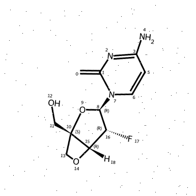 C=C1N=C(N)C=CN1[C@@H]1O[C@@]2(CO)CO[C@H]2[C@H]1F